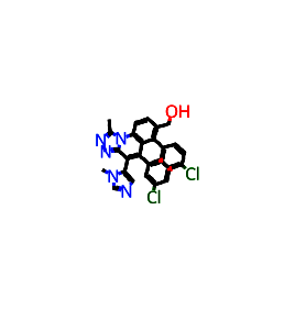 Cc1nnc2c(-c3cncn3C)c(-c3cccc(Cl)c3)c3c(-c4ccc(Cl)cc4)c(CO)ccc3n12